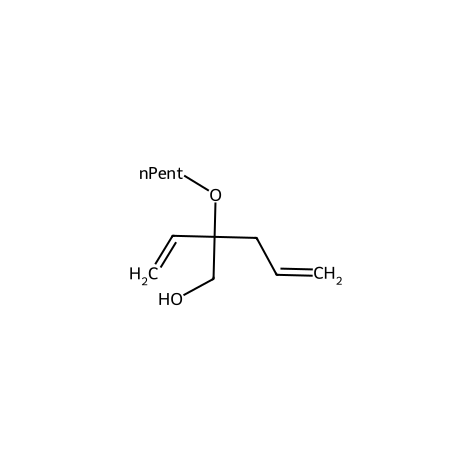 C=CCC(C=C)(CO)OCCCCC